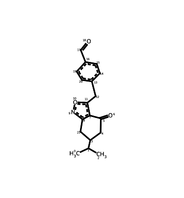 CC(C)C1CC(=O)c2c(noc2Cc2ccc(C=O)cc2)C1